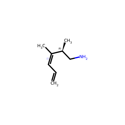 C=C/C=C(/C)[C@@H](C)CN